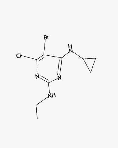 CCNc1nc(Cl)c(Br)c(NC2CC2)n1